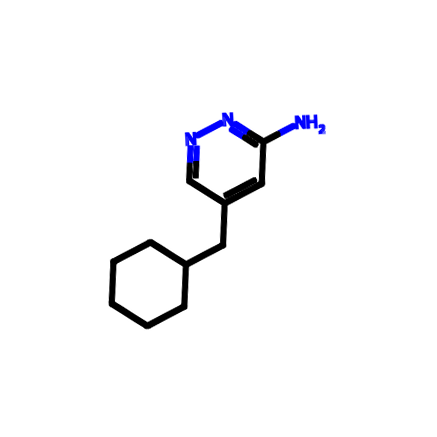 Nc1cc(CC2CCCCC2)cnn1